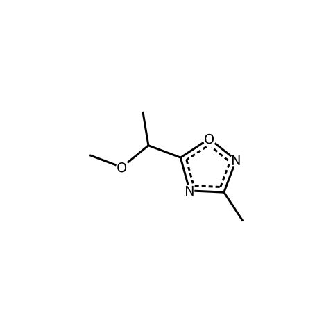 COC(C)c1nc(C)no1